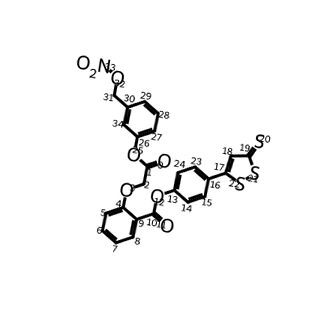 O=C(COc1ccccc1C(=O)Oc1ccc(-c2cc(=S)ss2)cc1)Oc1cccc(CO[N+](=O)[O-])c1